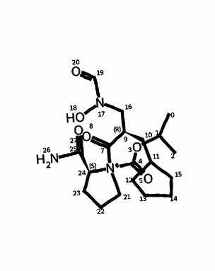 CC(C)OC(=O)[N+]1(C(=O)[C@H](CC2CCCC2)CN(O)C=O)CCC[C@H]1C(N)=O